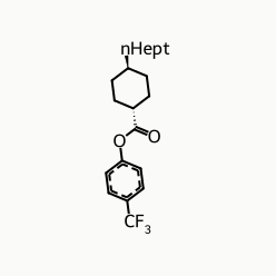 CCCCCCC[C@H]1CC[C@H](C(=O)Oc2ccc(C(F)(F)F)cc2)CC1